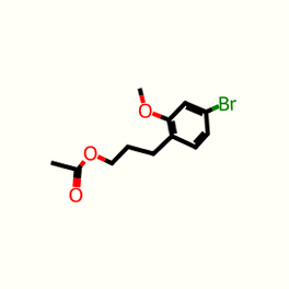 COc1cc(Br)ccc1CCCOC(C)=O